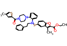 CCOC(=O)c1oc2ccc(SN(CCc3ccccc3)c3ccccc3N3CCN(C(=O)c4cc(C)cs4)CC3)cc2c1C